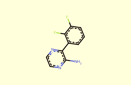 Nc1nccnc1-c1cccc(F)c1F